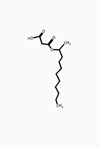 CCCCCCCCCC(C)OC(=O)CC(=O)O